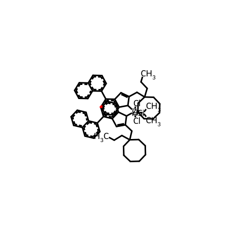 CCCC1(CC2=Cc3c(-c4cccc5ccccc45)cccc3[CH]2[Zr]([Cl])([Cl])([CH]2C(CC3(CCC)CCCCCCC3)=Cc3c(-c4cccc5ccccc45)cccc32)[SiH](C)C)CCCCCCC1